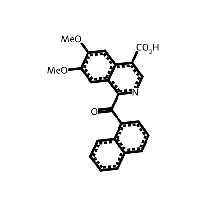 COc1cc2c(C(=O)O)cnc(C(=O)c3cccc4ccccc34)c2cc1OC